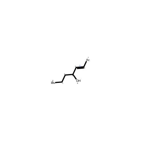 CCC(C)CCC(O)/C=C/C(C)=O